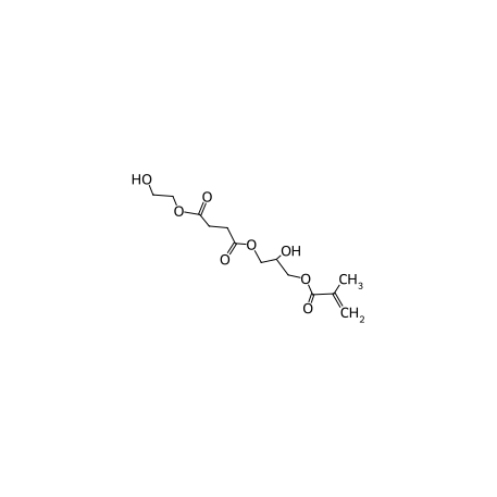 C=C(C)C(=O)OCC(O)COC(=O)CCC(=O)OCCO